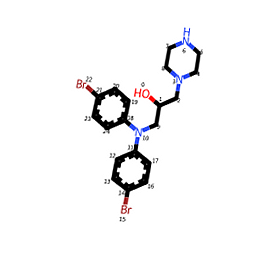 OC(CN1CCNCC1)CN(c1ccc(Br)cc1)c1ccc(Br)cc1